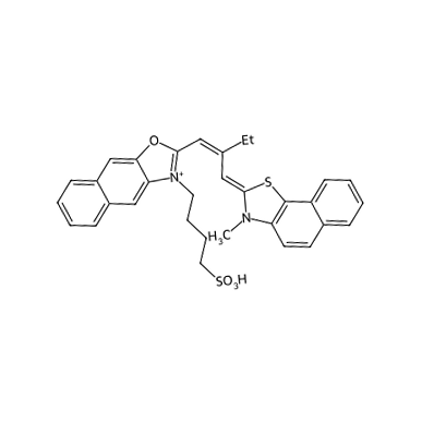 CCC(=Cc1oc2cc3ccccc3cc2[n+]1CCCCS(=O)(=O)O)C=C1Sc2c(ccc3ccccc23)N1C